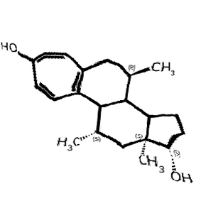 C[C@@H]1Cc2cc(O)ccc2C2C1C1CC[C@H](O)[C@@]1(C)C[C@@H]2C